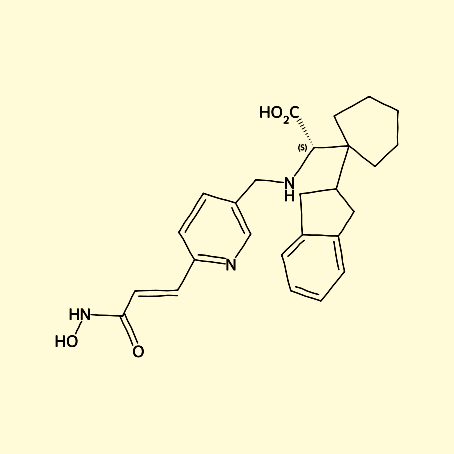 O=C(C=Cc1ccc(CN[C@H](C(=O)O)C2(C3Cc4ccccc4C3)CCCCC2)cn1)NO